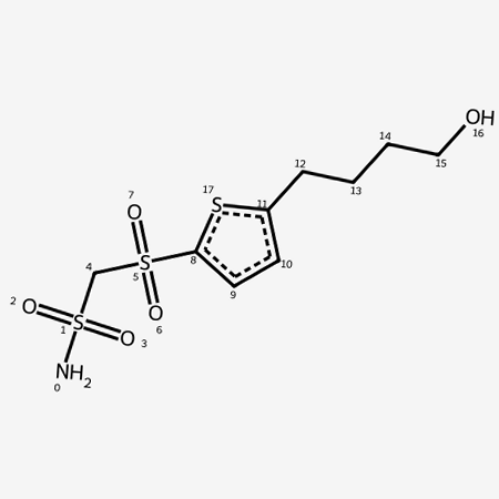 NS(=O)(=O)CS(=O)(=O)c1ccc(CCCCO)s1